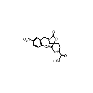 CCCCC(=O)N1CCC2(CC1)CN(Cc1cc([N+](=O)[O-])ccc1OC)C(=O)O2